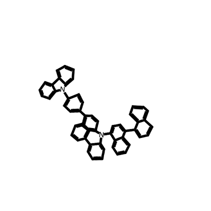 c1ccc(-c2ccccc2N(c2ccc(-c3ccc(-n4c5ccccc5c5ccccc54)cc3)cc2)c2ccc(-c3cccc4ccccc34)c3ccccc23)cc1